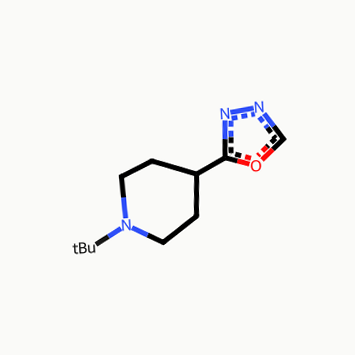 CC(C)(C)N1CCC(c2nnco2)CC1